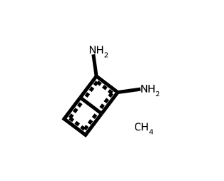 C.Nc1c2ccc-2c1N